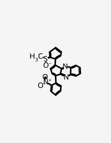 C[S+]([O-])c1ccccc1-c1ccc(-c2ccccc2[N+](=O)[O-])c2nc3ccccc3nc12